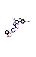 COc1ccc(-c2nc3c(C(=O)N4CCN([C@@H](CO)c5ccccc5C(F)(F)F)CC4)cnn3c(C(F)(F)F)c2C)cc1